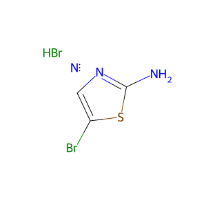 Br.Nc1ncc(Br)s1.[N]